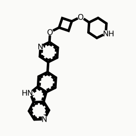 c1cc2[nH]c3cc(-c4ccc(OC5CC(OC6CCNCC6)C5)nc4)ccc3c2cn1